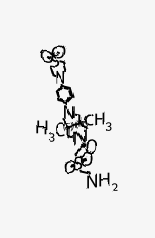 C[C@@]12CN(C(=O)CS(=O)(=O)CCN)C[C@]1(C)CN(c1ccc(N3CCS(=O)(=O)CC3)cc1)C2